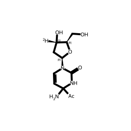 [2H][C@]1(O)C[C@H](N2C=CC(N)(C(C)=O)NC2=O)O[C@@H]1CO